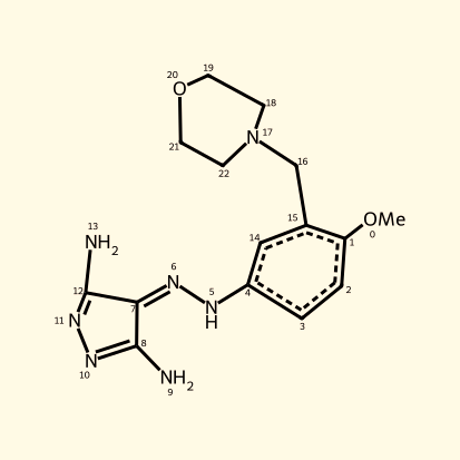 COc1ccc(NN=C2C(N)=NN=C2N)cc1CN1CCOCC1